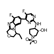 CCC1COCc2nc3c(F)cc(-c4nc(N[C@@H]5CCN(S(C)(=O)=O)C[C@H]5O)ncc4F)cc3n21